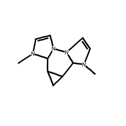 CN1C=CN2C1C1CC1C1N(C)C=CN12